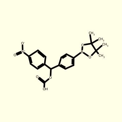 CC1(C)OB(c2ccc(C(OC(=O)O)c3ccc([N+](=O)[O-])cc3)cc2)OC1(C)C